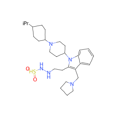 CC(C)C1CCC(N2CCC(n3c(CCNN[SH](=O)=O)c(CN4CCCC4)c4ccccc43)CC2)CC1